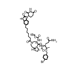 C[C@@H](OCc1ccc(Br)cc1)[C@H](CCC(N)=O)NC(=O)[C@@H]1CC[C@@H]2CCN(C(=O)CCCCCCc3ccc4c(c3)n(C)c(=O)n4C3CCC(=O)NC3=O)C[C@H](NC(=O)OC(C)(C)C)C(=O)N21